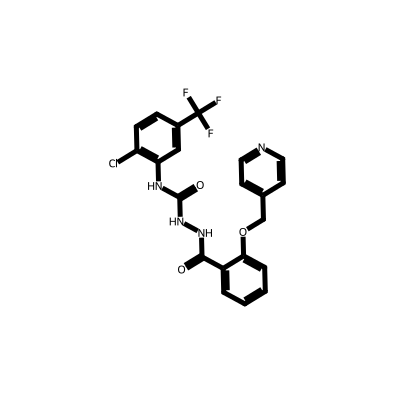 O=C(NNC(=O)c1ccccc1OCc1ccncc1)Nc1cc(C(F)(F)F)ccc1Cl